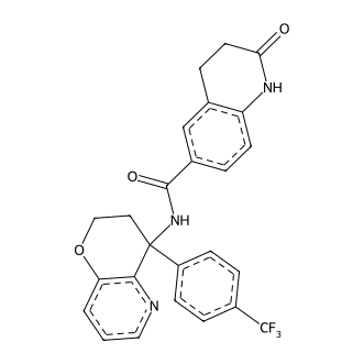 O=C1CCc2cc(C(=O)NC3(c4ccc(C(F)(F)F)cc4)CCOc4cccnc43)ccc2N1